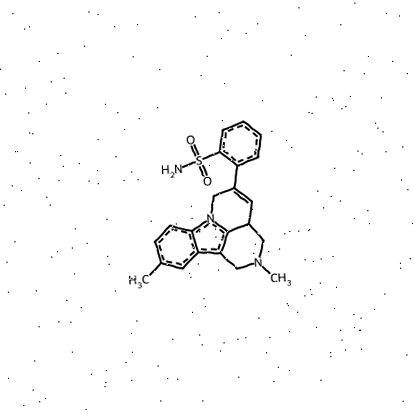 Cc1ccc2c(c1)c1c3n2CC(c2ccccc2S(N)(=O)=O)=CC3CN(C)C1